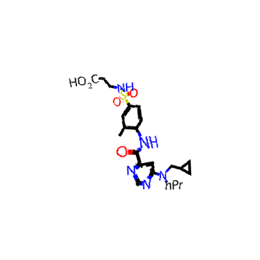 CCCN(CC1CC1)c1cc(C(=O)NC2C=CC(S(=O)(=O)NCCC(=O)O)=CC2C)ncn1